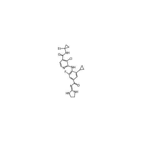 CCC1(NC(=O)c2ccnc(Nc3c(F)cc(C(=O)N=C4NCCN4)cc3C3CC3)c2Cl)CC1